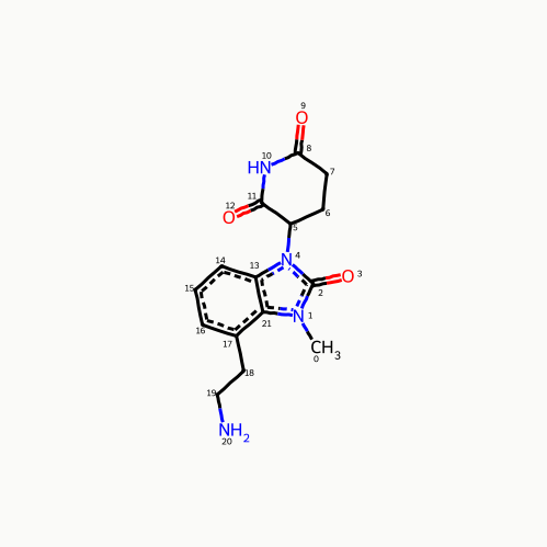 Cn1c(=O)n(C2CCC(=O)NC2=O)c2cccc(CCN)c21